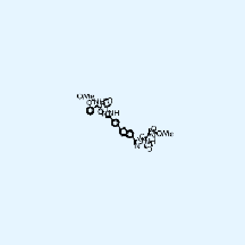 COC(=O)N[C@H](C(=O)N1CCOC[C@H]1c1ncc(-c2ccc3cc(-c4ccc(-c5cnc([C@@H]6COCCN6C(=O)[C@H](NC(=O)OC)c6ccccc6)[nH]5)cc4)ccc3c2)[nH]1)C(C)C